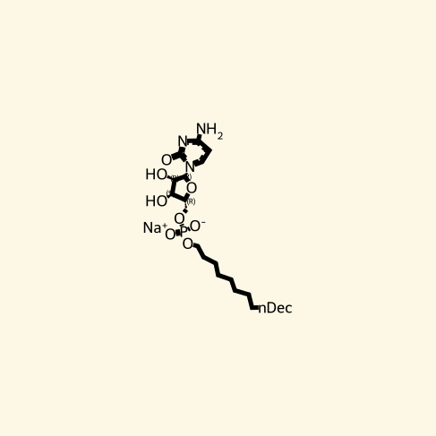 CCCCCCCCCCCCCCCCCCOP(=O)([O-])OC[C@H]1O[C@@H](n2ccc(N)nc2=O)[C@H](O)[C@@H]1O.[Na+]